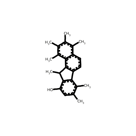 Cc1cc(O)c2c(c1C)-c1ccc3c(C)c(C)c(C)c(C)c3c1C2C